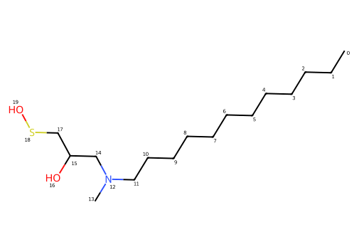 CCCCCCCCCCCCN(C)CC(O)CSO